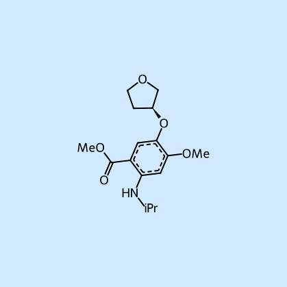 COC(=O)c1cc(O[C@H]2CCOC2)c(OC)cc1NC(C)C